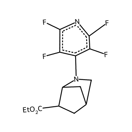 CCOC(=O)C1CC2CC1N(c1c(F)c(F)nc(F)c1F)C2